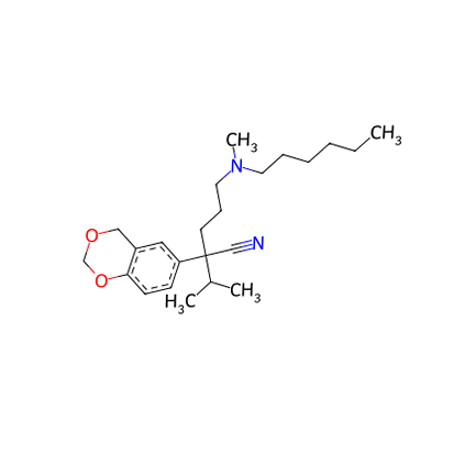 CCCCCCN(C)CCCC(C#N)(c1ccc2c(c1)COCO2)C(C)C